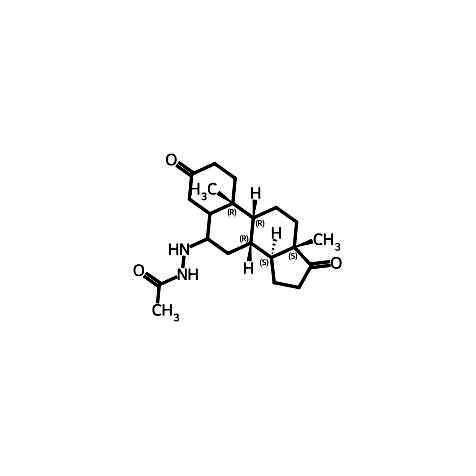 CC(=O)NNC1C[C@@H]2[C@@H](CC[C@]3(C)C(=O)CC[C@@H]23)[C@@]2(C)CCC(=O)CC12